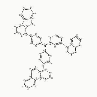 c1cc(-c2cccc3ccccc23)cc(N(c2ccc(-c3cccc4c3ccc3ccccc34)cc2)c2ccc(-c3cccc4c3oc3ccccc34)cc2)c1